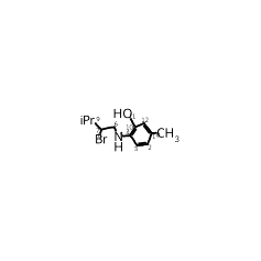 Cc1ccc(NCC(Br)C(C)C)c(O)c1